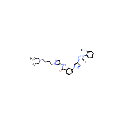 CCN(CC)CCCCn1cc(NC(=O)c2cccc(-n3cc(NC(=O)Nc4ccccc4C)cn3)c2)cn1